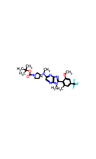 COc1cc(C(F)(F)F)cc(C)c1-c1nc2nc(N(C)[C@@H]3CCN(C(=O)OC(C)(C)C)C3)cnc2n1C